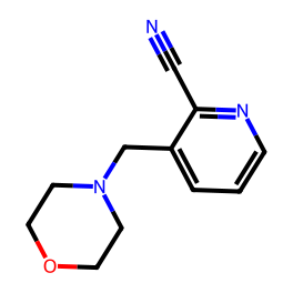 N#Cc1ncccc1CN1CCOCC1